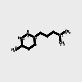 CN(C)CCCN1CCC(N)NN1